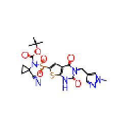 Cn1cc(Cn2c(=O)[nH]c3sc(S(=O)(=O)N(C(=O)OC(C)(C)C)C4(C#N)CC4)cc3c2=O)cn1